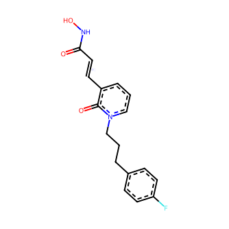 O=C(/C=C/c1cccn(CCCc2ccc(F)cc2)c1=O)NO